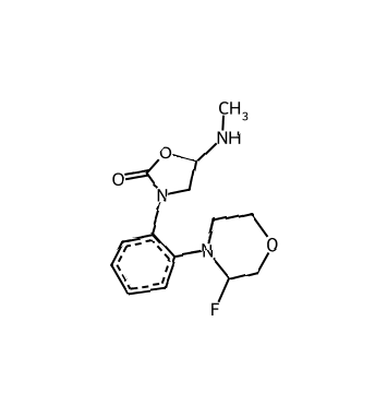 CNC1CN(c2ccccc2N2CCOCC2F)C(=O)O1